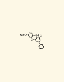 COc1ccc(Nc2c(Cl)cc(-c3ccccc3)cc2Cl)cc1